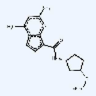 CCCCCO[C@H]1CC[C@@H](NC(=O)c2ccn3c(C)cc(C)nc23)C1